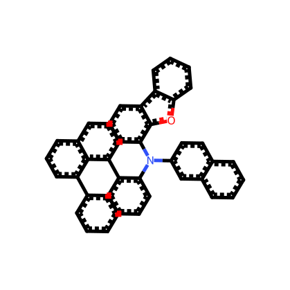 c1ccc(-c2cccc3cccc(-c4ccccc4N(c4ccc5ccccc5c4)c4cccc5c4oc4ccccc45)c23)cc1